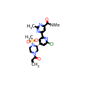 C=CC(=O)N1CCN(S(C)(=O)=O)[C@H](c2cc(Cl)nc(-c3cc(C(=O)NC)nc(C)n3)c2)C1